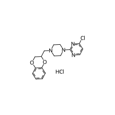 Cl.Clc1ccnc(N2CCN(CC3COc4ccccc4O3)CC2)n1